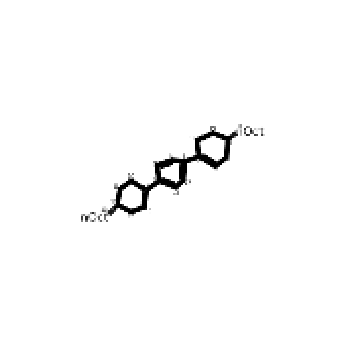 CCCCCCCCC1CC=C(c2ccc(C3CCC(CCCCCCCC)CC3)cc2)CC1